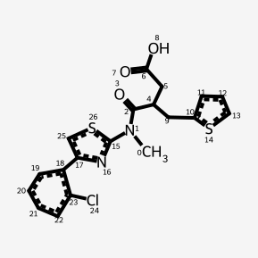 CN(C(=O)C(CC(=O)O)Cc1cccs1)c1nc(-c2ccccc2Cl)cs1